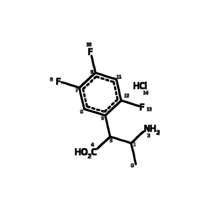 CC(N)C(C(=O)O)c1cc(F)c(F)cc1F.Cl